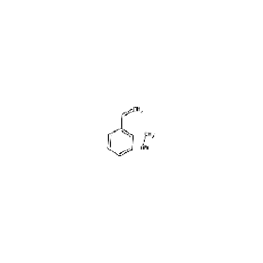 C=Cc1ccccc1.[CH2]CC[CH2]